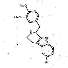 COc1ccc(CC2NCCc3c2[nH]c2ccc(C(C)C)cc32)cc1OC